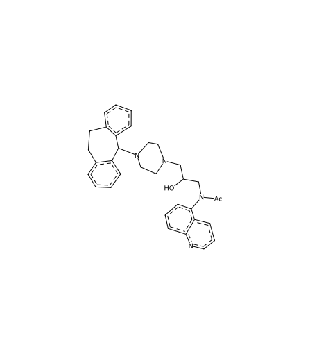 CC(=O)N(CC(O)CN1CCN(C2c3ccccc3CCc3ccccc32)CC1)c1cccc2ncccc12